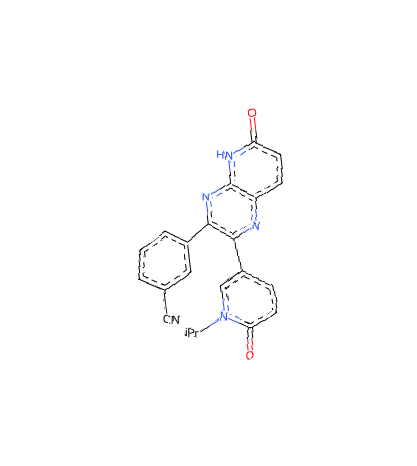 CC(C)n1cc(-c2nc3ccc(=O)[nH]c3nc2-c2cccc(C#N)c2)ccc1=O